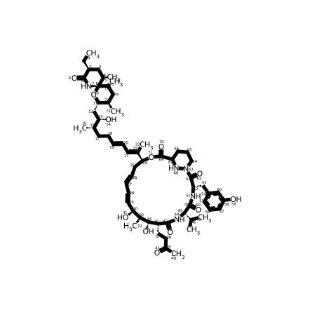 CC[C@H]1C[C@H](C)[C@@]2(NC1=O)O[C@@H](C[C@H](O)[C@@H](C)CC/C=C/C=C(\C)[C@@H]1C/C=C/C=C/[C@H](O)[C@H](C)[C@@H](O)[C@@H](CCC(C)=O)C(=O)N[C@@H](C(C)C)C(=O)N[C@@H](Cc3cccc(O)c3)C(=O)N3CCCC(N3)C(=O)O1)[C@H](C)CC2C